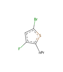 CCCc1sc(Br)cc1F